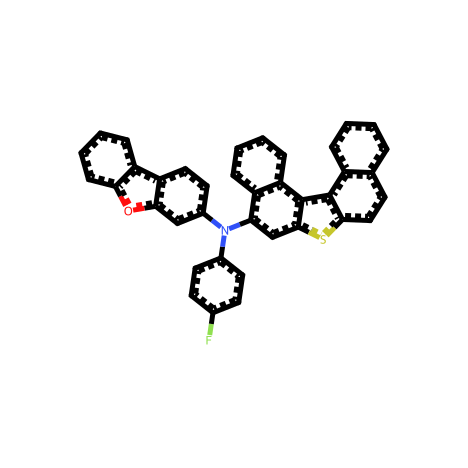 Fc1ccc(N(c2ccc3c(c2)oc2ccccc23)c2cc3sc4ccc5ccccc5c4c3c3ccccc23)cc1